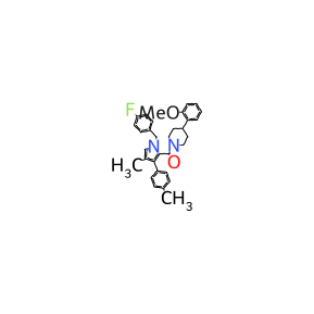 COc1ccccc1C1CCN(C(=O)c2c(-c3ccc(C)cc3)c(C)cn2Cc2ccc(F)cc2)CC1